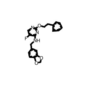 Fc1cnc(OCCc2ccccc2)nc1NCc1ccc2c(c1)OCO2